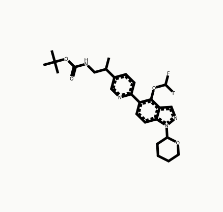 CC(CNC(=O)OC(C)(C)C)c1ccc(-c2ccc3c(cnn3C3CCCCO3)c2OC(F)F)nc1